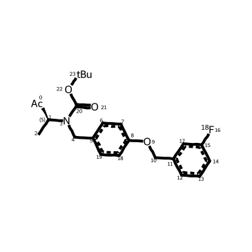 CC(=O)[C@H](C)N(Cc1ccc(OCc2cccc([18F])c2)cc1)C(=O)OC(C)(C)C